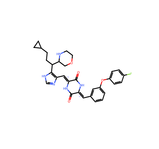 O=c1[nH]/c(=C\c2nc[nH]c2C(CCC2CC2)C2COCCN2)c(=O)[nH]/c1=C\c1cccc(Oc2ccc(F)cc2)c1